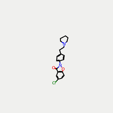 O=c1c2cc(Cl)ccc2on1-c1ccc(CCN2CCCCC2)cc1